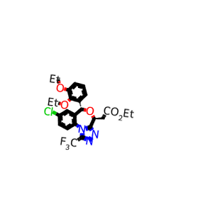 CCOC(=O)C[C@@H]1O[C@@H](c2cccc(OCC)c2OCC)c2cc(Cl)ccc2-n2c1nnc2C(F)(F)F